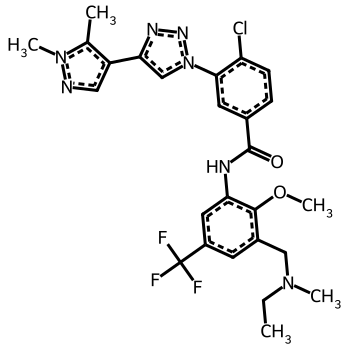 CCN(C)Cc1cc(C(F)(F)F)cc(NC(=O)c2ccc(Cl)c(-n3cc(-c4cnn(C)c4C)nn3)c2)c1OC